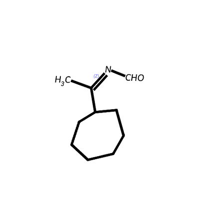 C/C(=N/C=O)C1CCCCCC1